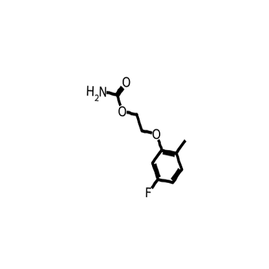 Cc1ccc(F)cc1OCCOC(N)=O